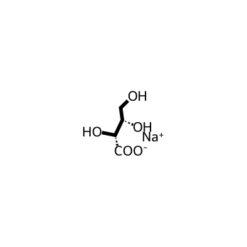 O=C([O-])[C@H](O)[C@@H](O)CO.[Na+]